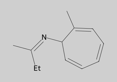 CC/C(C)=N\C1C=CC=CC=C1C